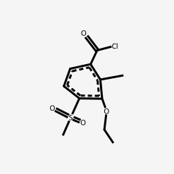 CCOc1c(S(C)(=O)=O)ccc(C(=O)Cl)c1C